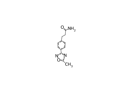 Cc1nc(-c2ccc(CCC(N)=O)cc2)no1